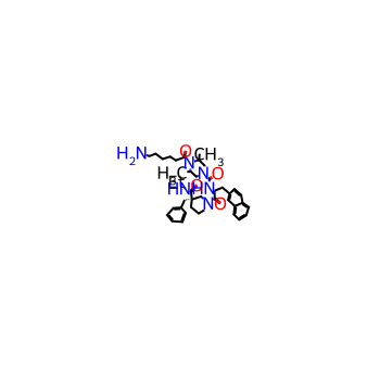 CCNC(=O)[C@]1(Cc2ccccc2)CCCN(C(=O)C(Cc2ccc3ccccc3c2)NC(=O)N2CC(C)N(C(=O)CCCCCN)C(C)C2)C1